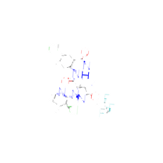 Cc1cc(Cl)cc(C(N)=O)c1NC(=O)c1cc(OCC(F)(F)F)nn1-c1ncccc1Cl